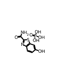 NC(=O)c1nc2ccc(O)cc2s1.O=P(O)(O)O